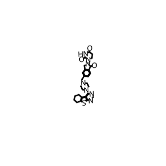 O=C1CCN(N2Cc3cc(CN4CCN(c5ncnc6sc7c(c56)CCCC7)CC4)ccc3C2=O)C(=O)N1